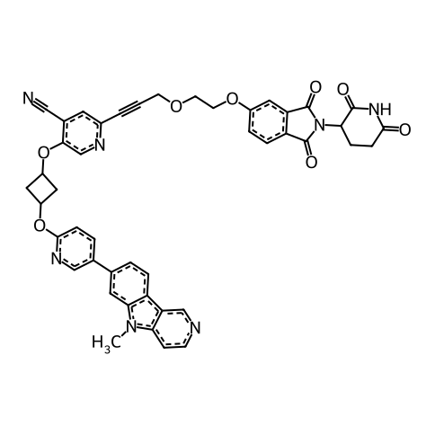 Cn1c2ccncc2c2ccc(-c3ccc(OC4CC(Oc5cnc(C#CCOCCOc6ccc7c(c6)C(=O)N(C6CCC(=O)NC6=O)C7=O)cc5C#N)C4)nc3)cc21